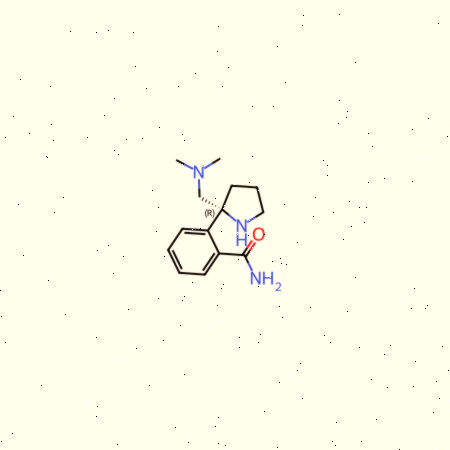 CN(C)C[C@]1(c2ccccc2C(N)=O)CCCN1